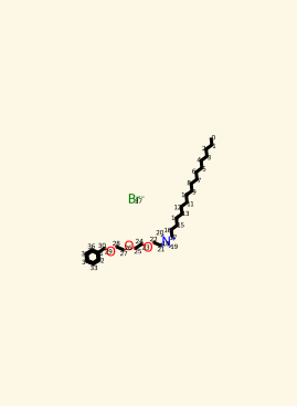 CCCCCCCCCCCCCCCCCC[N+](C)(C)CCOCCOCCOCc1ccccc1.[Br-]